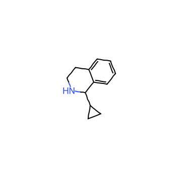 c1ccc2c(c1)CCNC2C1CC1